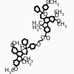 COc1ccc(C2(c3ccccc3)C=Cc3c4c(c5cc(OC)c(OC)cc5c3O2)-c2ccc(C(=O)OCCOc3ccc(C5(c6ccccc6)C=Cc6c7c(c8ccc(OC)cc8c6O5)-c5ccc(OC)cc5C7(C)C)cc3)cc2C4(C)C)cc1